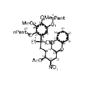 CCCCCOc1cc(C(C#N)(CC)CCC(OC(C)=O)C(CC2COc3ccccc3O2)[N+](=O)[O-])c(OCCCCC)c(OC)c1OC